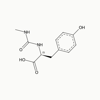 CNC(=O)N[C@@H](Cc1ccc(O)cc1)C(=O)O